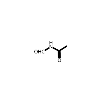 [CH2]C(=O)NC=O